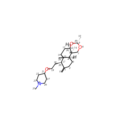 C=C1CC[C@@H]2[C@]3(C)CO[C@@H](C)O[C@@H]3CC[C@@]2(C)[C@@H]1CCOC1CCN(C)CC1